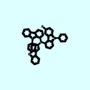 Fc1ccc2c(c1)c1c(N(c3ccc4oc5ccccc5c4c3)c3cccc4c5ccccc5n(-c5ccccc5)c34)cccc1n2-c1ccccc1